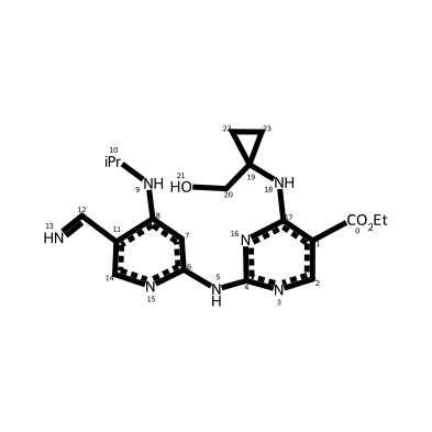 CCOC(=O)c1cnc(Nc2cc(NC(C)C)c(C=N)cn2)nc1NC1(CO)CC1